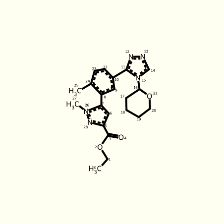 CCOC(=O)c1cc(-c2cc(-c3nncn3C3CCCCO3)ccc2C)n(C)n1